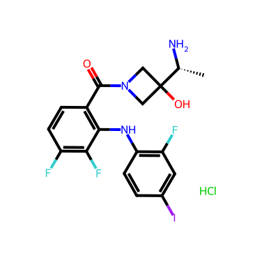 C[C@@H](N)C1(O)CN(C(=O)c2ccc(F)c(F)c2Nc2ccc(I)cc2F)C1.Cl